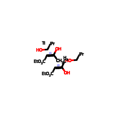 CC(C)CO.CC(C)CO.CCOC(=O)/C=C(/C)O.CCOC(=O)/C=C(\C)O.[Ti]